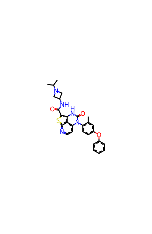 Cc1cc(Oc2ccccc2)ccc1N1C(=O)Nc2c(C(=O)NC3CN(C(C)C)C3)sc3nccc1c23